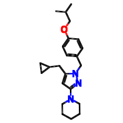 CC(C)COc1ccc(Cn2nc(N3CCCCC3)cc2CC2CC2)cc1